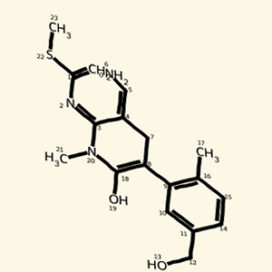 C=C(/N=C1\C(=C/N)CC(c2cc(CO)ccc2C)=C(O)N1C)SC